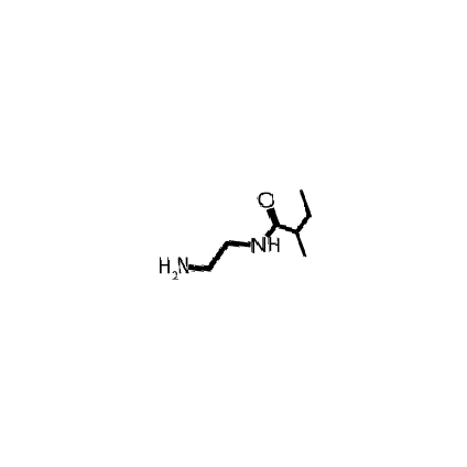 CCC(C)C(=O)NCCN